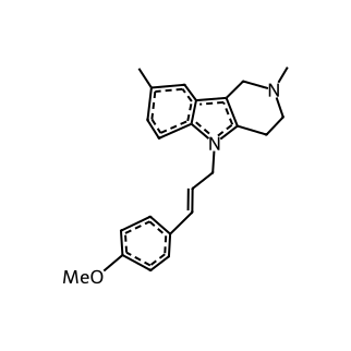 COc1ccc(C=CCn2c3c(c4cc(C)ccc42)CN(C)CC3)cc1